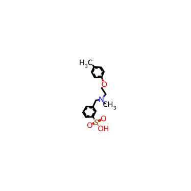 Cc1ccc(OCCN(C)Cc2cccc(S(=O)(=O)O)c2)cc1